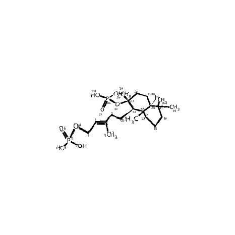 C/C(=C\COP(=O)(O)O)CC[C@@H]1[C@@]2(C)CCCC(C)(C)[C@@H]2CC[C@@]1(C)OP(=O)(O)O